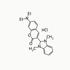 CCN(CC)c1ccc2cc(C3N(C)c4ccccc4N3C)c(=O)oc2c1.Cl